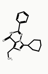 CCc1nc(C2CCCCC2)n2nc(-c3ccccc3)[nH]c(=O)c12